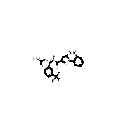 O=C(O)C[C@H](NC(=O)c1cc(O)n(-c2ccccc2Cl)n1)c1cccc(C(F)(F)F)c1